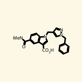 CNC(=O)c1ccc2c(c1)c(C(=O)O)cn2Cc1cnn(Cc2ccccc2)c1